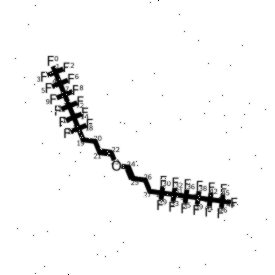 FC(F)(F)C(F)(F)C(F)(F)C(F)(F)C(F)(F)C(F)(F)CCC=COC=CCCC(F)(F)C(F)(F)C(F)(F)C(F)(F)C(F)(F)C(F)(F)F